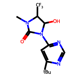 CN1C(=O)N(c2cc(C(C)(C)C)ncn2)C(O)C1C(F)(F)F